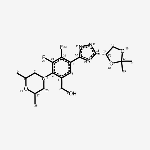 CC1CN(c2c(CO)cc(-c3nnc([C@@H]4COC(C)(C)O4)s3)c(F)c2F)CC(C)O1